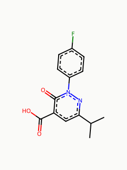 CC(C)c1cc(C(=O)O)c(=O)n(-c2ccc(F)cc2)n1